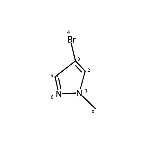 Cn1cc(Br)[c]n1